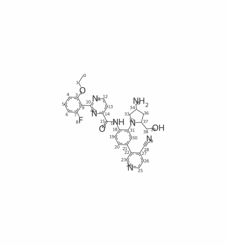 CCOc1cccc(F)c1-c1nccc(C(=O)Nc2ccc(-c3cnccc3C#N)cc2N2CC(N)CC2CO)n1